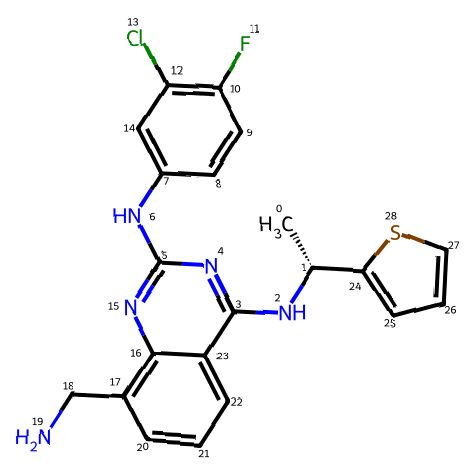 C[C@@H](Nc1nc(Nc2ccc(F)c(Cl)c2)nc2c(CN)cccc12)c1cccs1